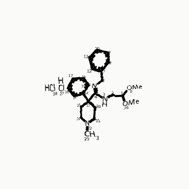 COC(CN/C(=N\Cc1ccccc1)C1(c2ccccc2)CCN(C)CC1)OC.Cl.Cl